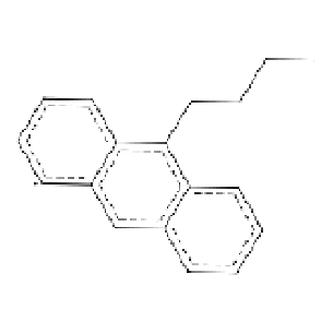 CCCCc1c2ccc[c]c2cc2ccccc12